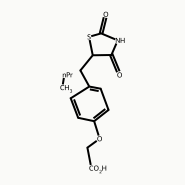 CCCC.O=C(O)COc1ccc(CC2SC(=O)NC2=O)cc1